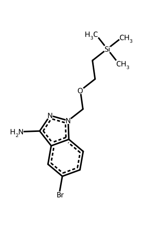 C[Si](C)(C)CCOCn1nc(N)c2cc(Br)ccc21